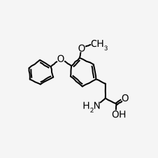 COc1cc(CC(N)C(=O)O)ccc1Oc1ccccc1